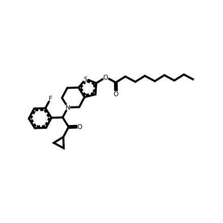 CCCCCCCCC(=O)Oc1cc2c(s1)CCN(C(C(=O)C1CC1)c1ccccc1F)C2